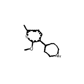 COc1nc(C)ccc1C1CCNCC1